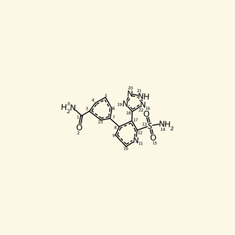 NC(=O)c1cccc(-c2ccnc(S(N)(=O)=O)c2-c2nn[nH]n2)c1